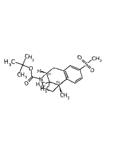 CC(C)(C)OC(=O)N1CC[C@@]2(C)c3ccc(S(C)(=O)=O)cc3C[C@@H]1C2(C)C